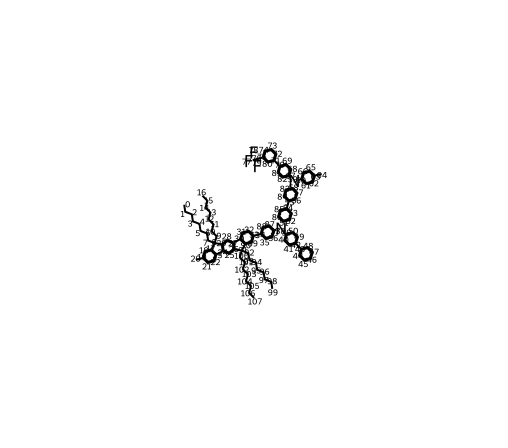 CCCCCCCCC1(CCCCCCCC)c2cc(C)ccc2-c2cc3c(cc21)-c1ccc(-c2ccc(N(c4ccc(-c5ccccc5)cc4)c4ccc(-c5ccc(N(c6ccc(C)cc6)c6ccc(-c7cccc(C(F)(F)F)c7)cc6)cc5)cc4)cc2)cc1C3(CCCCCCCC)CCCCCCCC